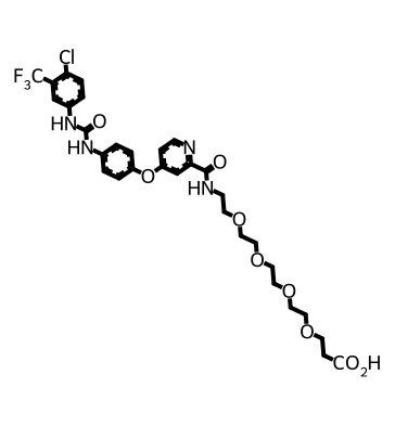 O=C(O)CCOCCOCCOCCOCCNC(=O)c1cc(Oc2ccc(NC(=O)Nc3ccc(Cl)c(C(F)(F)F)c3)cc2)ccn1